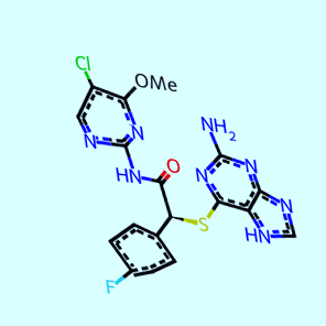 COc1nc(NC(=O)[C@@H](Sc2nc(N)nc3nc[nH]c23)c2ccc(F)cc2)ncc1Cl